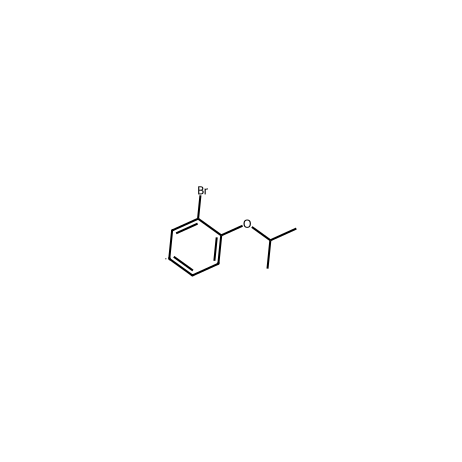 CC(C)Oc1cc[c]cc1Br